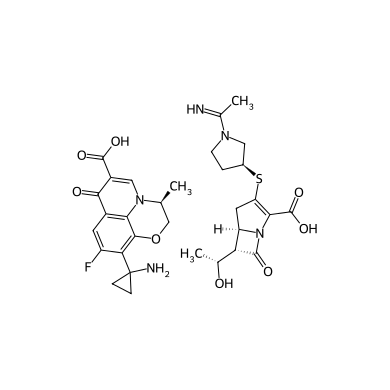 CC(=N)N1CC[C@H](SC2=C(C(=O)O)N3C(=O)[C@H]([C@@H](C)O)[C@H]3C2)C1.C[C@H]1COc2c(C3(N)CC3)c(F)cc3c(=O)c(C(=O)O)cn1c23